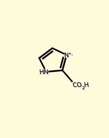 O=C(O)C1=[N+]C=CN1